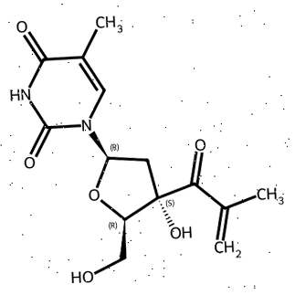 C=C(C)C(=O)[C@]1(O)C[C@H](n2cc(C)c(=O)[nH]c2=O)O[C@@H]1CO